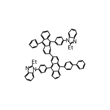 CCc1nc2ccccc2n1-c1ccc(-c2c3ccccc3c(-c3ccccc3)c3ccc(-c4ccc5c(-c6ccc(-c7ccccc7)cc6)c6ccccc6c(-c6ccc(-n7c(CC)nc8ccccc87)cc6)c5c4)cc23)cc1